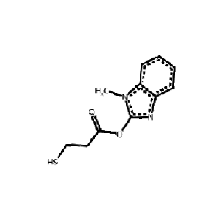 Cn1c(OC(=O)CCS)nc2ccccc21